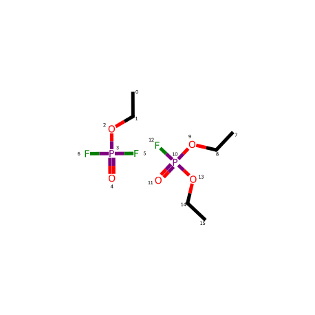 CCOP(=O)(F)F.CCOP(=O)(F)OCC